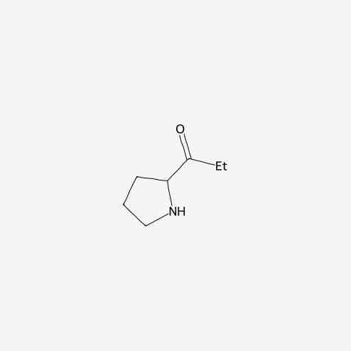 CCC(=O)C1CCCN1